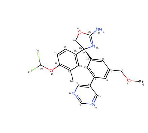 CCOCc1cc(-c2cncnc2)cc([C@@]2(c3ccc(OC(F)F)c(C)c3)COC(N)=N2)c1